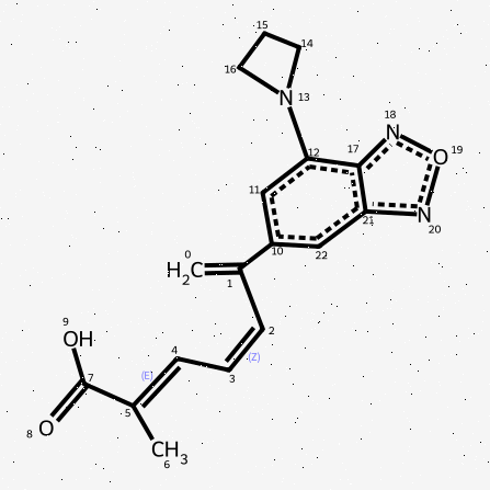 C=C(/C=C\C=C(/C)C(=O)O)c1cc(N2CCC2)c2nonc2c1